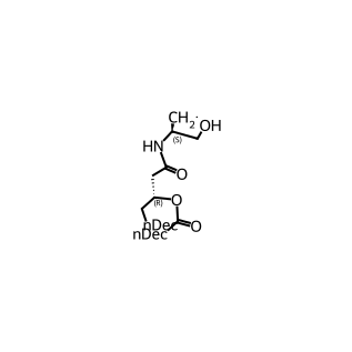 [CH2][C@@H](CO)NC(=O)C[C@@H](CCCCCCCCCCC)OC(=O)CCCCCCCCCC